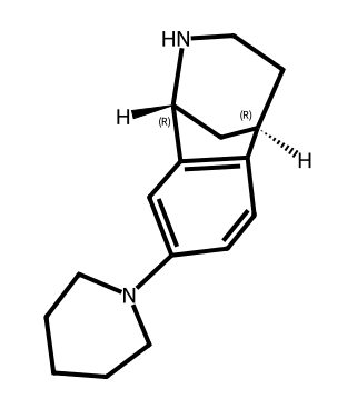 c1cc2c(cc1N1CCCCC1)[C@H]1C[C@H]2CCN1